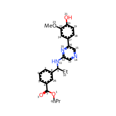 CCCOC(=O)c1cccc(C(CC)Nc2cncc(-c3ccc(O)c(OC)c3)n2)c1